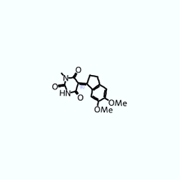 COc1cc2c(cc1OC)/C(=C1\C(=O)NC(=O)N(C)C1=O)CC2